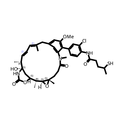 COc1cc2cc(c1-c1ccc(NC(=O)CCC(C)S)c(Cl)c1)N(C)C(=O)CC[C@]1(C)O[C@H]1[C@H](C)[C@@H]1C[C@@](O)(NC(=O)O1)[C@H](C)/C=C/C=C(\C)C2